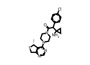 C[C@H]1SCc2ncnc(N3CCN(C(=O)C(c4ccc(Cl)cc4)C4(N)CC4)CC3)c21